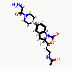 CC(=O)NCC[C@@H]1OC(=O)N2c3ccc(N4CCN(C(=O)CN)CC4)cc3C[C@@H]12